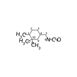 CC1CCC(CN=C=O)CC1(C)C